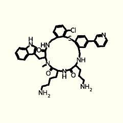 CN1C(=O)C(CCCCN)NC(=O)C(CCCN)NCc2cc(-c3cccnc3)ccc2Sc2c(Cl)cccc2CNC(=O)C1Cc1c[nH]c2ccccc12